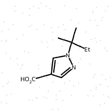 CCC(C)(C)n1cc(C(=O)O)cn1